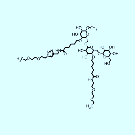 CCOCCOCCNC(=O)CCCCCO[C@H]1[C@H](O)[C@@H](O)[C@@H](OC[C@H]2O[C@H](OC)[C@H](O)[C@@H](O)[C@@H]2OCCCCCC(=O)NCc2cn(CCOCCOCC)nn2)O[C@@H]1CO[C@H]1O[C@H](CO)[C@@H](O)[C@H](O)[C@H]1O